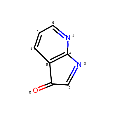 O=C1C=Nc2ncc[c]c21